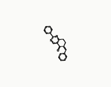 O=C1C(=Cc2ccccc2)CCc2nc(-c3ccccc3)ncc21